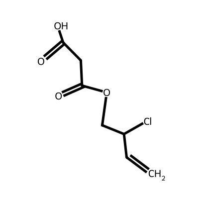 C=CC(Cl)COC(=O)CC(=O)O